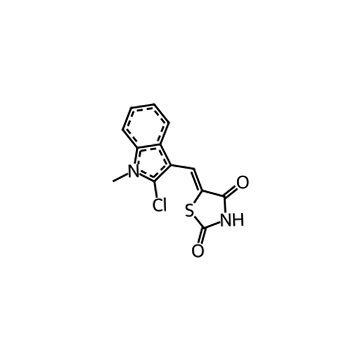 Cn1c(Cl)c(C=C2SC(=O)NC2=O)c2ccccc21